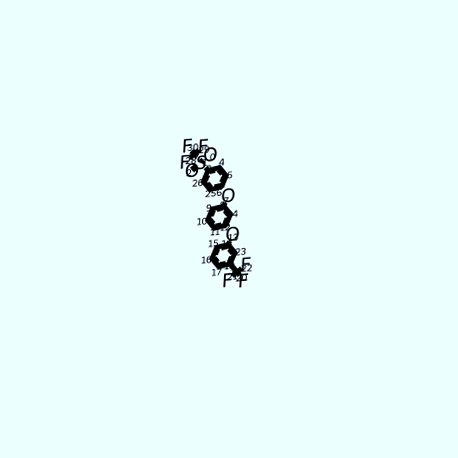 O=S(=O)(c1ccc(Oc2cccc(Oc3cccc(C(F)(F)F)c3)c2)cc1)C(F)(F)F